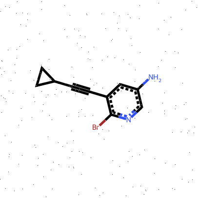 Nc1cnc(Br)c(C#CC2CC2)c1